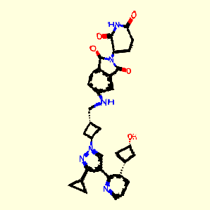 O=C1CCC(N2C(=O)c3ccc(NC[C@H]4C[C@H](n5cc(-c6ncccc6[C@H]6C[C@@H](O)C6)c(C6CC6)n5)C4)cc3C2=O)C(=O)N1